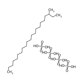 CCCCCCCCCCCCCCCCCCC(C)CC.O=S(=O)(O)O.O=S(=O)(O)O.O=S(=O)(O)O.O=S(=O)(O)O